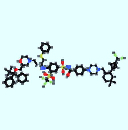 CC1(C)CCC(CN2CCN(c3ccc(C(=O)NS(=O)(=O)c4ccc(N[C@H](CCN5CCO[C@H](CO[Si](c6ccccc6)(c6ccccc6)C(C)(C)C)C5)CSc5ccccc5)c(S(=O)(=O)C(F)(F)F)c4)cc3)CC2)=C(C23CC(C(F)F)(C2)C3)C1